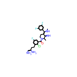 CN/C(=C1/CCN(C(=O)c2cc(F)cc(CC/C(N)=C/N)c2Cl)C(C)C1=N)c1cc(F)cc(F)c1